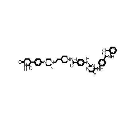 C[C@@H]1CN(c2ccc(C3CCC(=O)NC3=O)cc2)CCN1CCC1CCN(NC(=O)c2ccc(Nc3ncc(F)c(Nc4ccc(C(=O)Nc5ccccc5Cl)cc4)n3)cc2)CC1